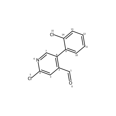 O=Cc1cc(Cl)ncc1-c1ccccc1Cl